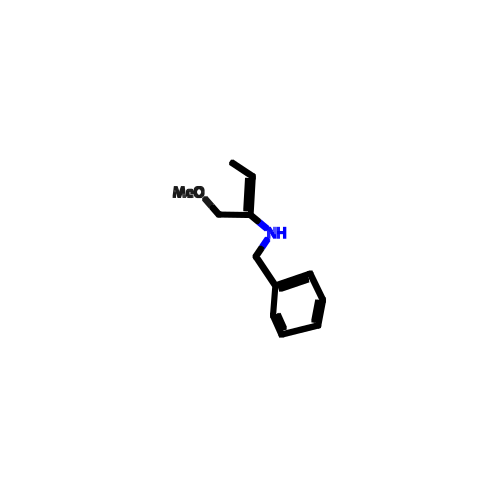 CC=C(COC)NCc1ccccc1